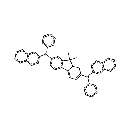 CC1(C)c2cc(N(c3ccccc3)c3ccc4ccccc4c3)ccc2C2=CC=C(N(c3ccccc3)c3ccc4ccccc4c3)CC21